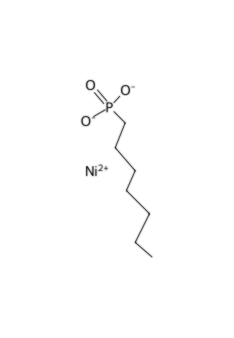 CCCCCCCP(=O)([O-])[O-].[Ni+2]